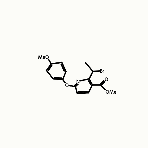 COC(=O)c1ccc(Oc2ccc(OC)cc2)nc1C(C)Br